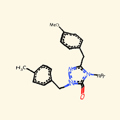 CCCn1c(Cc2ccc(OC)cc2)nn(Cc2ccc(C)cc2)c1=O